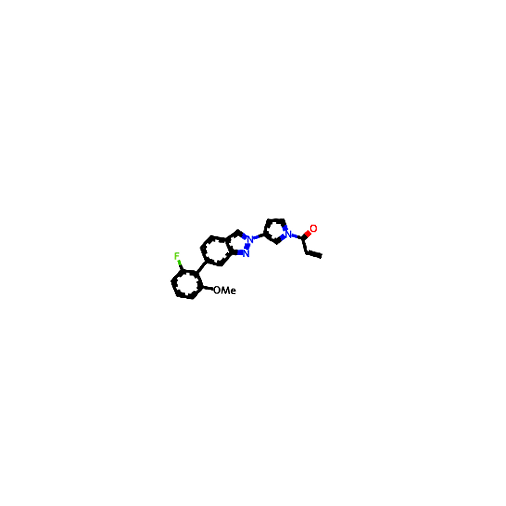 C=CC(=O)n1ccc(-n2cc3ccc(-c4c(F)cccc4OC)cc3n2)c1